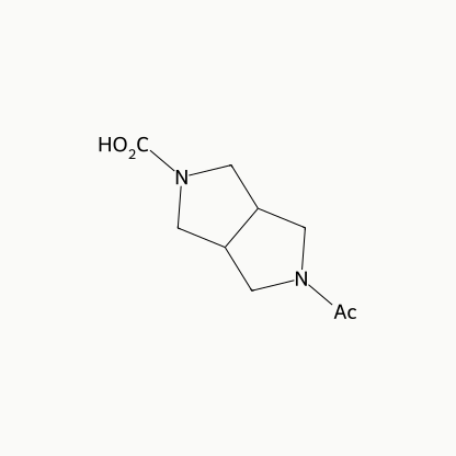 CC(=O)N1CC2CN(C(=O)O)CC2C1